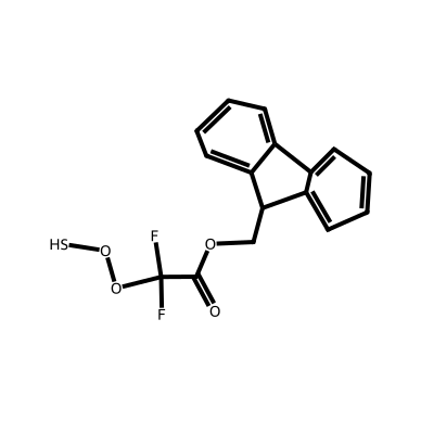 O=C(OCC1c2ccccc2-c2ccccc21)C(F)(F)OOS